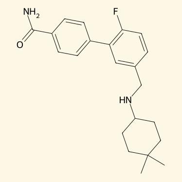 CC1(C)CCC(NCc2ccc(F)c(-c3ccc(C(N)=O)cc3)c2)CC1